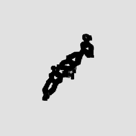 COc1cncc(-c2ccc3cnc(Nc4cc5c(cc4OC)CCN(C)C5)nc3c2)c1